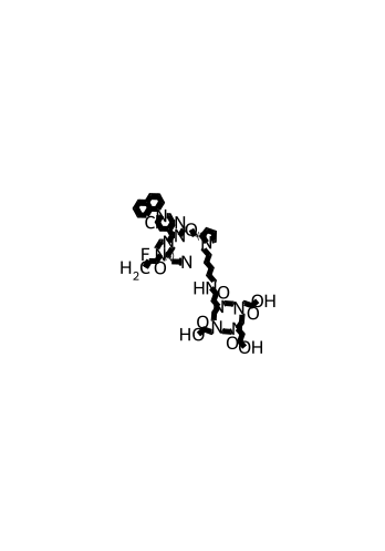 C=C(F)C(=O)N1CCN(c2nc(OC[C@@H]3CCCN3CCCCCCNC(=O)CN3CCN(CC(=O)O)CCN(CC(=O)O)CCN(CC(=O)O)CC3)nc3c2CCN(c2cccc4cccc(Cl)c24)C3)C[C@@H]1CC#N